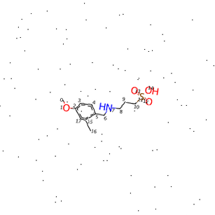 COc1ccc(CNCCCS(=O)(=O)O)c(C)c1